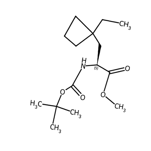 CCC1(C[C@H](NC(=O)OC(C)(C)C)C(=O)OC)CCC1